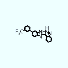 FC(F)(F)c1cccc(-c2ccc3nc(-c4[nH]nc5ccccc45)[nH]c3c2)c1